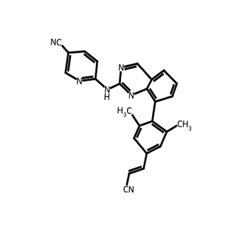 Cc1cc(C=CC#N)cc(C)c1-c1cccc2cnc(Nc3ccc(C#N)cn3)nc12